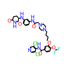 O=C1CCC(Nc2cccc(NC(=O)CN3CCN(CCCCOc4cc(C(=O)Nc5c(Cl)cncc5Cl)ccc4OC(F)F)CC3)c2)C(=O)N1